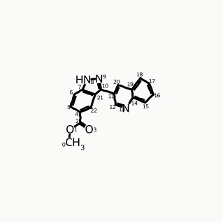 COC(=O)c1ccc2[nH]nc(-c3cnc4ccccc4c3)c2c1